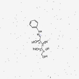 OC[C@@H](O)[C@@H](O)[C@H](O)[C@@H](O)/C=N/Nc1ccccc1